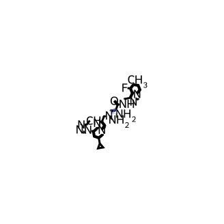 Cc1ccn2cnc(CNC(=O)/C(N)=C/N(N)Cc3cn4cc(C5CC5)cc(-n5cnnc5C)c4n3)c2c1F